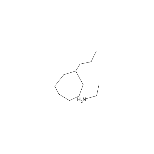 CCCC1CCCCCC1.CCN